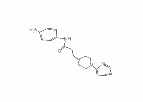 Nc1ccc(NC(=O)CCN2CCN(c3ccccn3)CC2)cc1